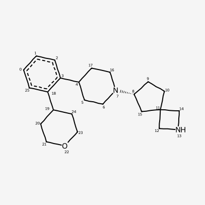 c1ccc(C2CCN([C@@H]3CCC4(CNC4)C3)CC2)c(C2CCOCC2)c1